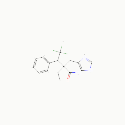 CCC(Cc1c[nH]cn1)(C(N)=O)C(c1ccccc1)C(F)(F)F